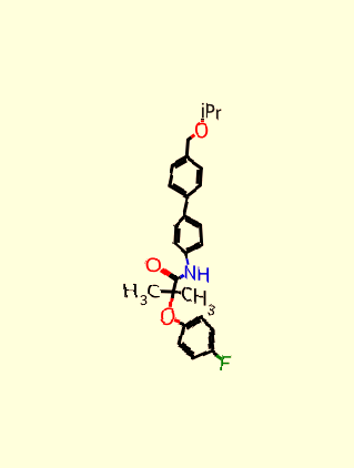 CC(C)OCc1ccc(-c2ccc(NC(=O)C(C)(C)Oc3ccc(F)cc3)cc2)cc1